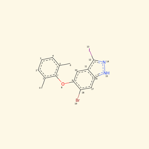 Cc1cccc(C)c1Oc1cc2c(I)n[nH]c2cc1Br